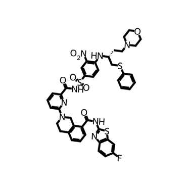 O=C(NS(=O)(=O)c1ccc(N[C@H](CCN2CCOCC2)CSc2ccccc2)c([N+](=O)[O-])c1)c1cccc(N2CCc3cccc(C(=O)Nc4nc5ccc(F)cc5s4)c3C2)n1